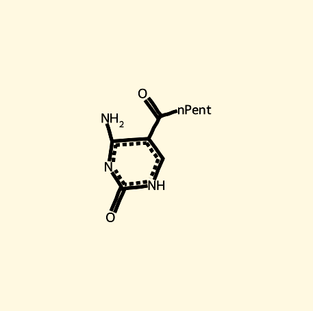 CCCCCC(=O)c1c[nH]c(=O)nc1N